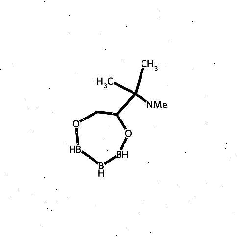 CNC(C)(C)C1COBBBO1